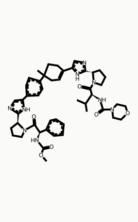 COC(=O)N[C@@H](C(=O)N1CCC[C@H]1c1ncc(-c2ccc(C3(C)CC=C(c4cnc([C@@H]5CCCN5C(=O)[C@@H](NC(=O)N5CCOCC5)C(C)C)[nH]4)CC3)cc2)[nH]1)c1ccccc1